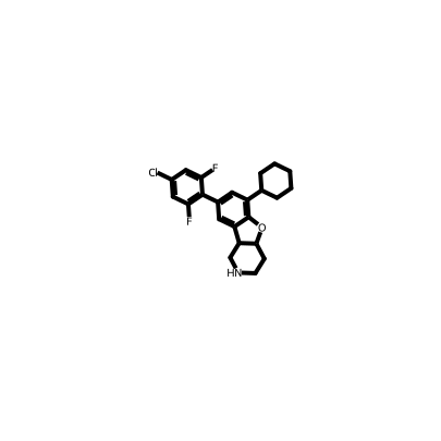 Fc1cc(Cl)cc(F)c1-c1cc(C2CCCCC2)c2c(c1)C1CNCCC1O2